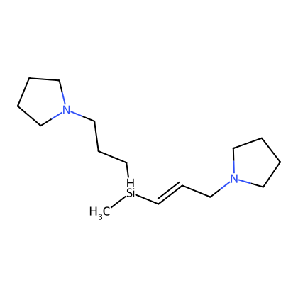 C[SiH](C=CCN1CCCC1)CCCN1CCCC1